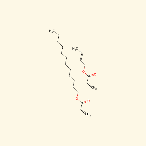 C=CC(=O)OCC=CC.C=CC(=O)OCCCCCCCCCCCC